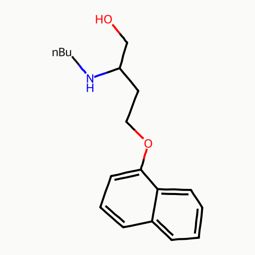 CCCCNC(CO)CCOc1cccc2ccccc12